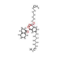 CCCCCCCCOC(=O)c1ccc(CCCCCCCC)cc1C(=O)Oc1cccc2ccccc12